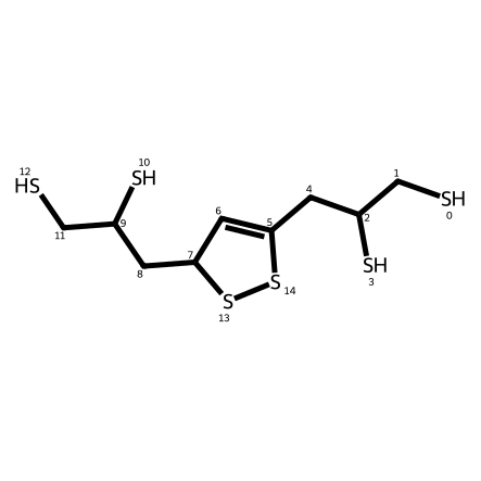 SCC(S)CC1=CC(CC(S)CS)SS1